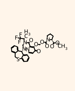 COC(=O)[C@@H]1CCCN1C(=O)OCOc1c2n(ccc1=O)N([C@H]1c3ccccc3CSc3ccccc31)CN([C@H](C)C(F)(F)F)C2=O